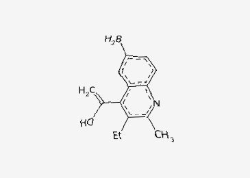 Bc1ccc2nc(C)c(CC)c(C(=C)O)c2c1